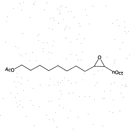 CCCCCCCCC1OC1CCCCCCCCOC(C)=O